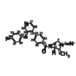 CC1[C@H]2C(CN1C#N)N2C(=O)c1ccc(-c2ccncc2Sc2ccc(F)cc2)cc1